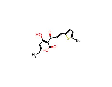 CCc1ccc(/C=C/C(=O)c2c(O)cc(C)oc2=O)s1